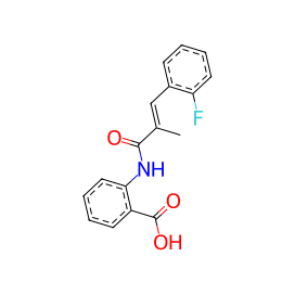 CC(=Cc1ccccc1F)C(=O)Nc1ccccc1C(=O)O